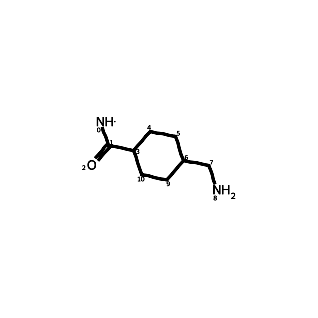 [NH]C(=O)C1CCC(CN)CC1